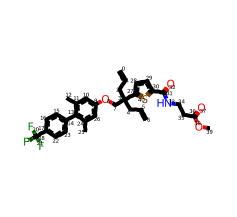 C=CCC(CC=C)(COc1cc(C)c(-c2ccc(C(F)(F)F)cc2)c(C)c1)c1ccc(C(=O)NCCC(=O)OC)s1